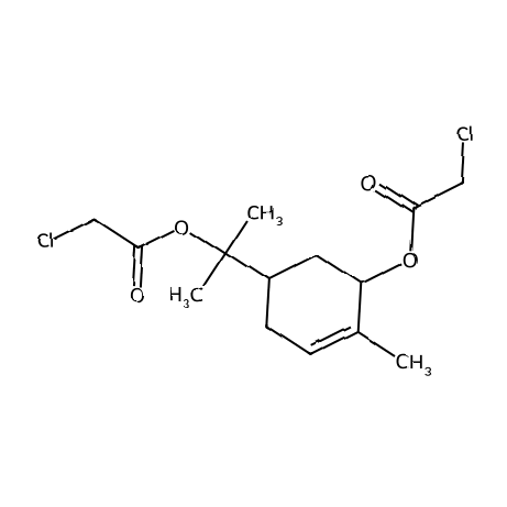 CC1=CCC(C(C)(C)OC(=O)CCl)CC1OC(=O)CCl